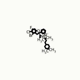 CC1(C)CCC(CCC(C)(C)[S+]([O-])N2CC2[C@@]2(c3ccccc3)Cc3c(cc(F)c(Cl)c3Br)O2)CC1